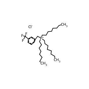 CCCCCCCC[P+](CCCCCCCC)(CCCCCCCC)Cc1cccc(C(F)(F)F)c1.[Cl-]